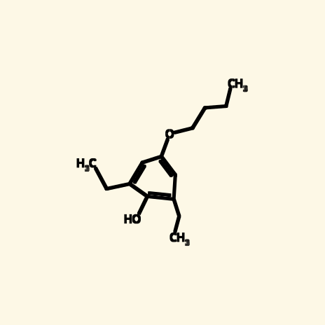 CCCCOc1cc(CC)c(O)c(CC)c1